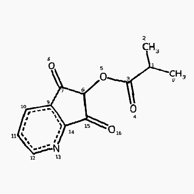 CC(C)C(=O)OC1C(=O)c2cccnc2C1=O